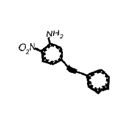 Nc1cc(C#Cc2ccccc2)ccc1[N+](=O)[O-]